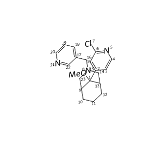 COC1(c2ccnc(Cl)c2)C2CCCC1CN(Cc1cccnc1)C2